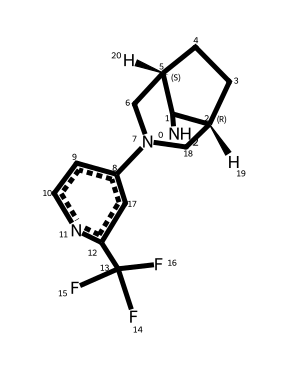 NC1[C@@H]2CC[C@H]1CN(c1ccnc(C(F)(F)F)c1)C2